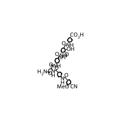 CCCOc1c(NC(=O)c2ccc(NC(=O)[C@H](CC(N)=O)NC(=O)c3ccc(NC(=O)c4ccc(C#N)c(OC)c4)cc3)cc2)ccc(C(=O)Nc2ccc(C(=O)O)cc2)c1O